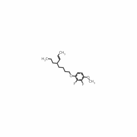 C/C=C/C(CCC)CCCCOc1ccc(OC)c(F)c1F